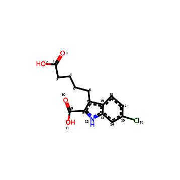 O=C(O)CCCCc1c(C(=O)O)[nH]c2cc(Cl)ccc12